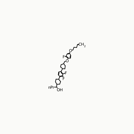 C=CCCCOc1ccc(OCC2CCC(c3ccc(C4CCC(C(O)CCC)CC4)c(F)c3F)CC2)c(F)c1